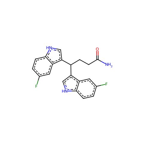 NC(=O)CCC(c1c[nH]c2ccc(F)cc12)c1c[nH]c2ccc(F)cc12